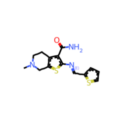 CN1CCc2c(sc(/N=C/c3cccs3)c2C(N)=O)C1